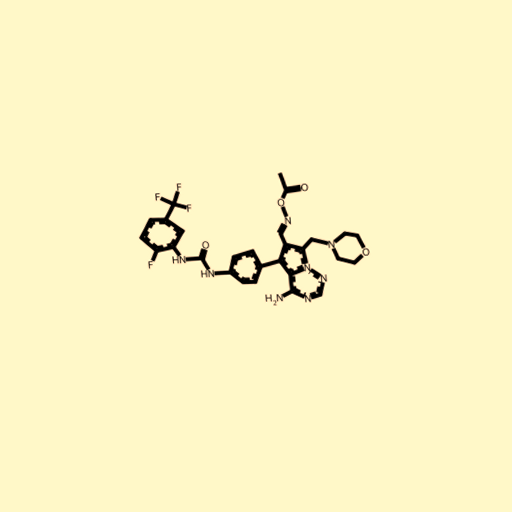 CC(=O)O/N=C/c1c(-c2ccc(NC(=O)Nc3cc(C(F)(F)F)ccc3F)cc2)c2c(N)ncnn2c1CN1CCOCC1